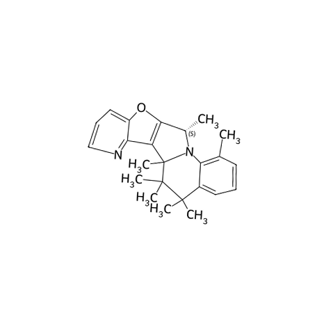 Cc1cccc2c1N1[C@@H](C)c3oc4cccnc4c3C1(C)C(C)(C)C2(C)C